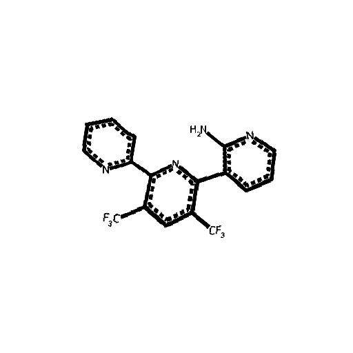 Nc1ncccc1-c1nc(-c2ccccn2)c(C(F)(F)F)cc1C(F)(F)F